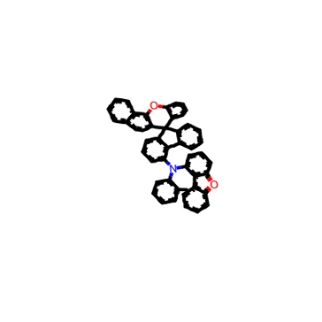 Cc1ccccc1N(c1cccc2c1-c1ccccc1C21c2ccccc2Oc2c1ccc1ccccc21)c1cccc2oc3ccccc3c12